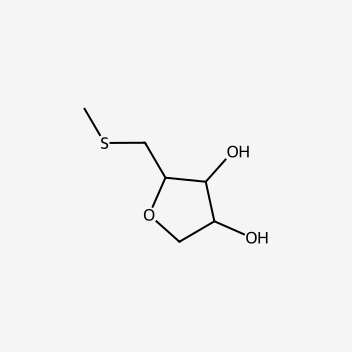 CSCC1OCC(O)C1O